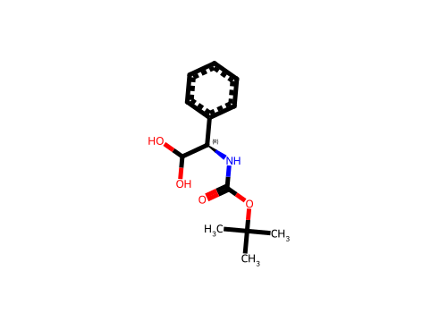 CC(C)(C)OC(=O)N[C@H](c1ccccc1)C(O)O